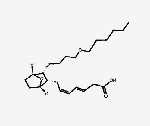 CCCCCCOCCCC[C@@H]1[C@H](C/C=C\C=CCC(=O)O)[C@@H]2CC[C@H]1O2